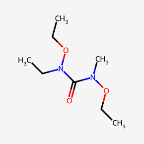 CCON(C)C(=O)N(CC)OCC